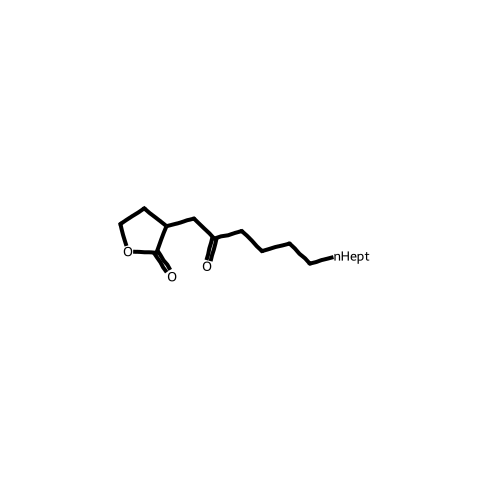 CCCCCCCCCCCC(=O)CC1CCOC1=O